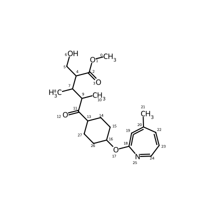 COC(=O)C(CO)C(C)C(C)C(=O)C1CCC(OC2=C=C(C)C=CC=N2)CC1